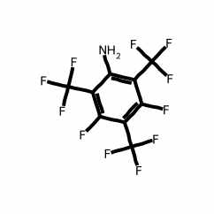 Nc1c(C(F)(F)F)c(F)c(C(F)(F)F)c(F)c1C(F)(F)F